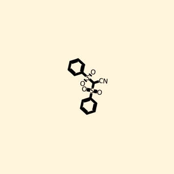 N#CC(S(=O)(=O)c1ccccc1)S(=O)(=O)c1ccccc1